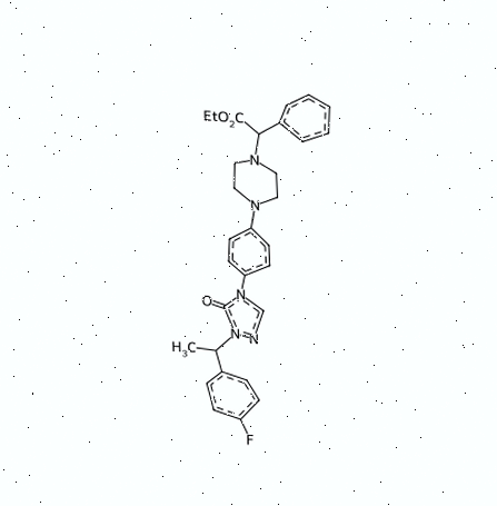 CCOC(=O)C(c1ccccc1)N1CCN(c2ccc(-n3cnn(C(C)c4ccc(F)cc4)c3=O)cc2)CC1